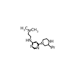 CC(C)C1CN(c2cc(NCCN(C)C)ncn2)CCN1